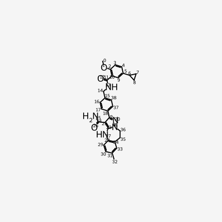 COc1ccc(C2CC2)cc1C(=O)NCc1ccc(-c2nn3c(c2C(N)=O)Nc2ccc(C)cc2CC3)cc1